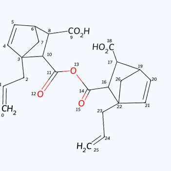 C=CCC12C=CC(C1)C(C(=O)O)C2C(=O)OC(=O)C1C(C(=O)O)C2C=CC1(CC=C)C2